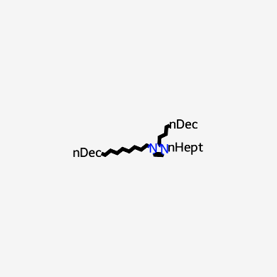 CCCCCCCCCCCCCCCCCC[n+]1ccn(CCCCCCC)c1CCCCCCCCCCCCC